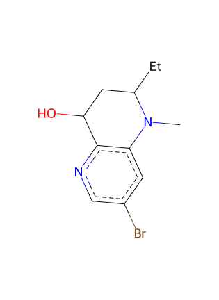 CCC1CC(O)c2ncc(Br)cc2N1C